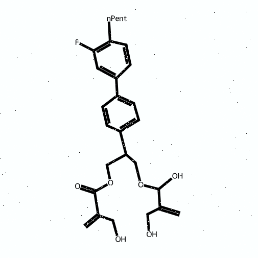 C=C(CO)C(=O)OCC(COC(O)C(=C)CO)c1ccc(-c2ccc(CCCCC)c(F)c2)cc1